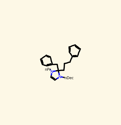 CCCCCCCCCCN1C=CN(CCC)C1(CCCc1ccccc1)Cc1ccccc1